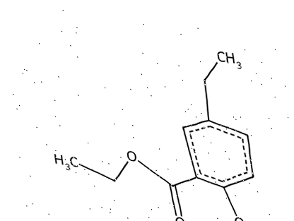 CCOC(=O)c1cc(CC)ccc1OC